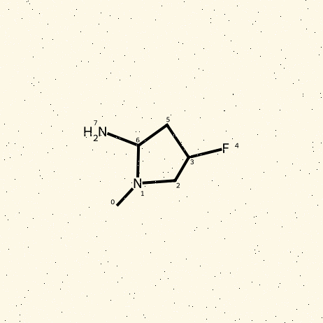 CN1CC(F)CC1N